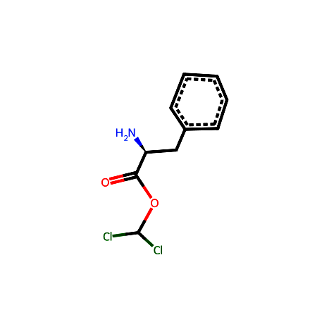 N[C@@H](Cc1ccccc1)C(=O)OC(Cl)Cl